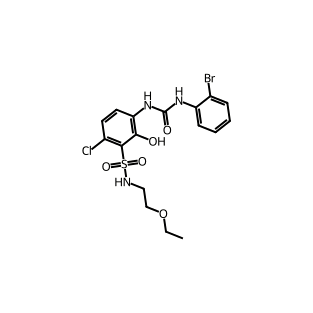 CCOCCNS(=O)(=O)c1c(Cl)ccc(NC(=O)Nc2ccccc2Br)c1O